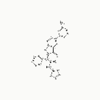 Nc1cccc(-c2ccc3c(c2)C(=O)N([C@@H](C(=O)Nc2nccs2)c2ccccc2)C3)c1